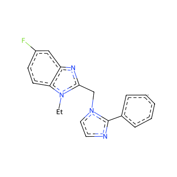 CCn1c(Cn2ccnc2-c2c[c]ccc2)nc2cc(F)ccc21